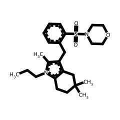 CCCn1c(C)c(Cc2ccccc2S(=O)(=O)N2CCOCC2)c2c1CCC(C)(C)C2